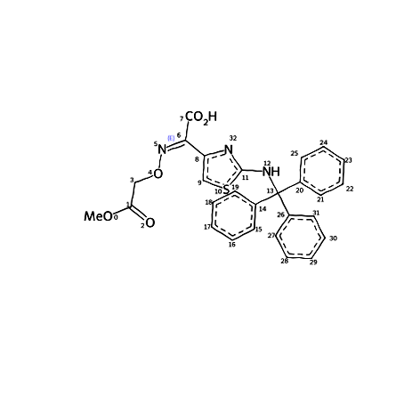 COC(=O)CO/N=C(/C(=O)O)c1csc(NC(c2ccccc2)(c2ccccc2)c2ccccc2)n1